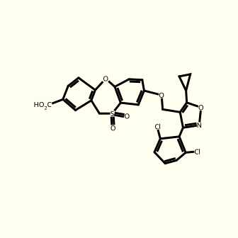 O=C(O)c1ccc2c(c1)CS(=O)(=O)c1cc(OCc3c(-c4c(Cl)cccc4Cl)noc3C3CC3)ccc1O2